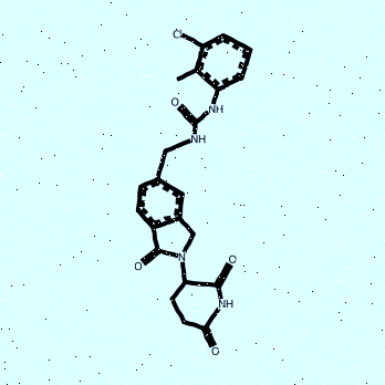 Cc1c(Cl)cccc1NC(=O)NCc1ccc2c(c1)CN(C1CCC(=O)NC1=O)C2=O